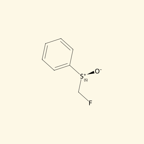 [O-][S@@+](CF)c1ccccc1